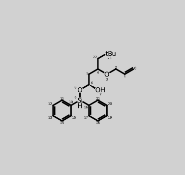 C=CCOC(C[C@@H](O)O[SiH](c1ccccc1)c1ccccc1)CC(C)(C)C